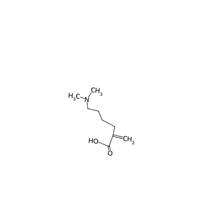 C=C(CCCCN(C)C)C(=O)O